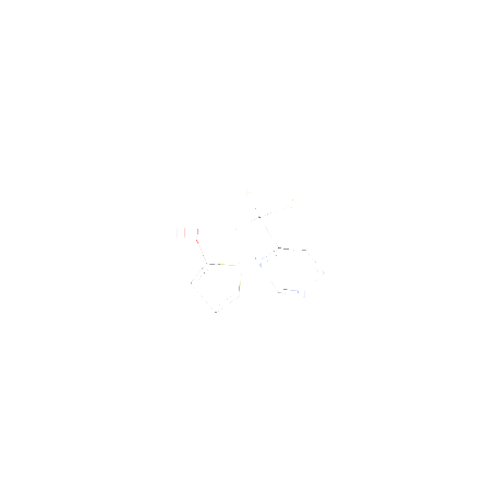 FC(F)(F)c1ccncn1.Oc1cccs1